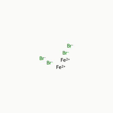 [Br-].[Br-].[Br-].[Br-].[Fe+2].[Fe+2]